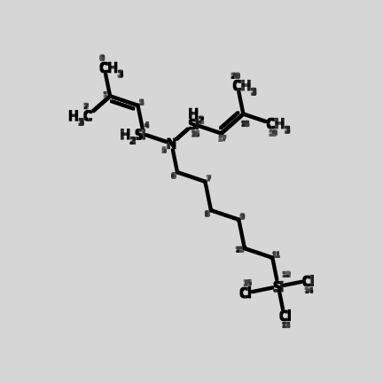 CC(C)=C[SiH2]N(CCCCCC[Si](Cl)(Cl)Cl)[SiH2]C=C(C)C